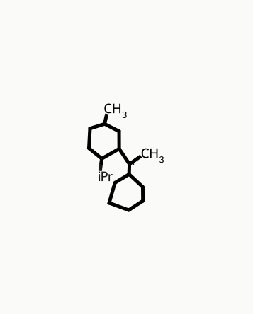 C[C](C1CCCCC1)C1CC(C)CCC1C(C)C